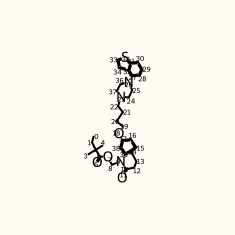 CCC(C)(C)C(=O)OCN1C(=O)CCc2ccc(OCCCCN3CCN(c4cccc5sccc45)CC3)cc21